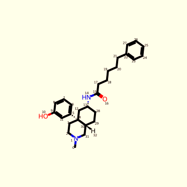 CN1CC[C@@]2(c3cccc(O)c3)C[C@H](NC(=O)CCCCCc3ccccc3)CC[C@@H]2C1